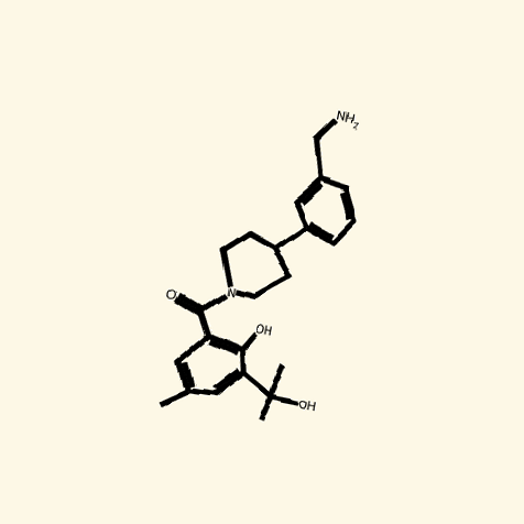 Cc1cc(C(=O)N2CCC(c3cccc(CN)c3)CC2)c(O)c(C(C)(C)O)c1